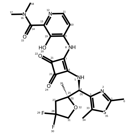 Cc1nc([C@H](Nc2c(Nc3ccnc(C(=O)N(C)C)c3O)c(=O)c2=O)[C@]2(C)CC(F)(F)CO2)c(C)s1